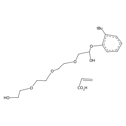 C=CC(=O)O.CC(C)(C)c1ccccc1OC(O)COCCOCCOCCO